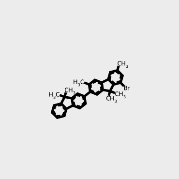 Cc1cc(Br)c2c(c1)-c1cc(C)c(-c3ccc4c(c3)C(C)(C)c3ccccc3-4)cc1C2(C)C